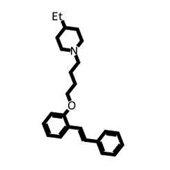 CCC1CCN(CCCCOc2ccccc2/C=C/c2ccccc2)CC1